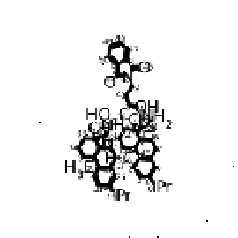 CC(C)c1ccc2c(c1)CC[C@H]1[C@@](C)(CN)CCC[C@]21C.CC(C)c1ccc2c(c1)CC[C@H]1[C@@](C)(CN)CCC[C@]21C.O=C(O)C(O)CCN1C(=O)c2ccccc2C1=O